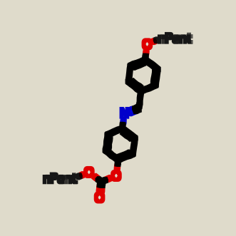 CCCCCOC(=O)Oc1ccc(N=Cc2ccc(OCCCCC)cc2)cc1